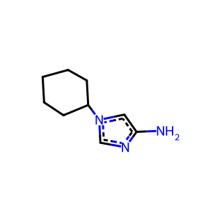 Nc1cn(C2CCCCC2)cn1